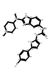 CN1CCC(N(C)c2nc3cc(NC(=O)Oc4ccc(-c5ccc(F)cc5)s4)ccc3o2)CC1